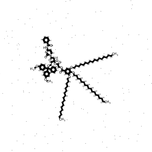 CCCCCCCCCCCCCCCCCCOc1cc(C(=O)OCC(=O)O[C@]2(O)C[C@H](n3ccc(NC(=O)c4ccccc4)nc3=O)O[C@@H]2COC(c2ccccc2)(c2ccc(OC)cc2)c2ccc(OC)cc2)cc(OCCCCCCCCCCCCCCCCCC)c1OCCCCCCCCCCCCCCCCCC